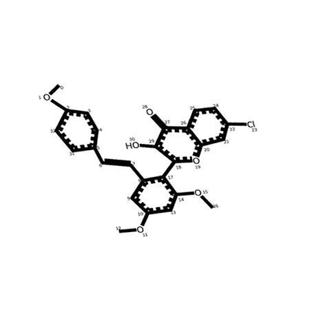 COc1ccc(C=Cc2cc(OC)cc(OC)c2-c2oc3cc(Cl)ccc3c(=O)c2O)cc1